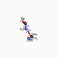 COc1cc(C)c(/N=C\C2CCCN2C=O)cc1OCCCC(=O)Nc1cn(C)c(C(=O)Nc2ccc3oc(C(=O)N4CCSCC4)cc3c2)n1